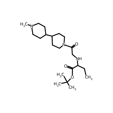 CCC(NCC(=O)N1CCC(C2CCN(C)CC2)CC1)C(=O)OC(C)(C)C